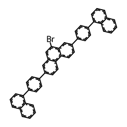 Brc1cc2cc(-c3ccc(-c4cccc5ccccc45)cc3)ccc2c2ccc(-c3ccc(-c4cccc5ccccc45)cc3)cc12